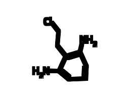 Nc1cccc(N)c1CCCl